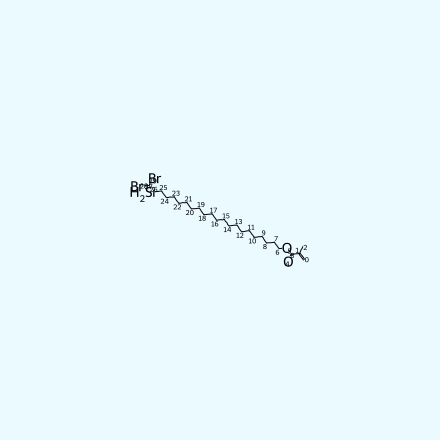 C=C(C)C(=O)OCCCCCCCCCCCCCCCCCCCC[SiH2]C(Br)Br